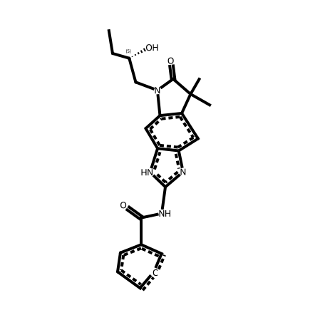 CC[C@H](O)CN1C(=O)C(C)(C)c2cc3nc(NC(=O)c4ccccc4)[nH]c3cc21